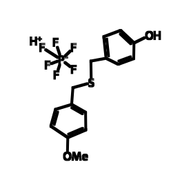 COc1ccc(CSCc2ccc(O)cc2)cc1.F[P-](F)(F)(F)(F)F.[H+]